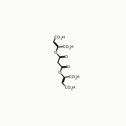 O=C(O)/C=C(/OC(=O)CC(=O)O/C(=C/C(=O)O)C(=O)O)C(=O)O